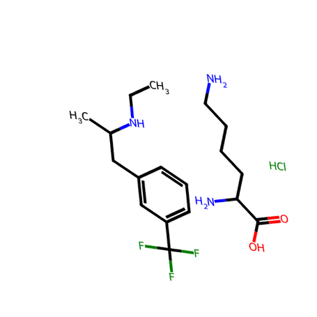 CCNC(C)Cc1cccc(C(F)(F)F)c1.Cl.NCCCCC(N)C(=O)O